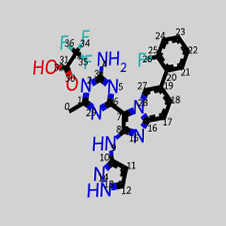 Cc1nc(N)nc(-c2c(Nc3cc[nH]n3)nc3ccc(-c4ccccc4F)cn23)n1.O=C(O)C(F)(F)F